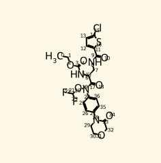 CCOC(=O)N[C@@H](CNC(=O)c1ccc(Cl)s1)C(=O)N(OC(F)F)c1ccc(N2CCOCC2=O)cc1